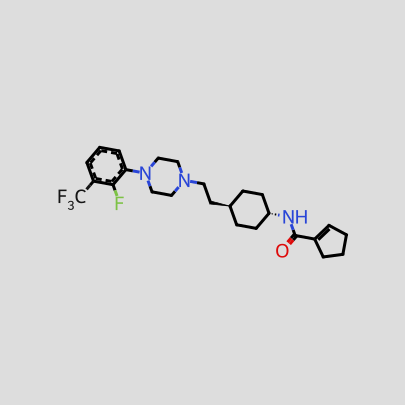 O=C(N[C@H]1CC[C@H](CCN2CCN(c3cccc(C(F)(F)F)c3F)CC2)CC1)C1=CCCC1